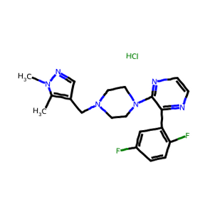 Cc1c(CN2CCN(c3nccnc3-c3cc(F)ccc3F)CC2)cnn1C.Cl